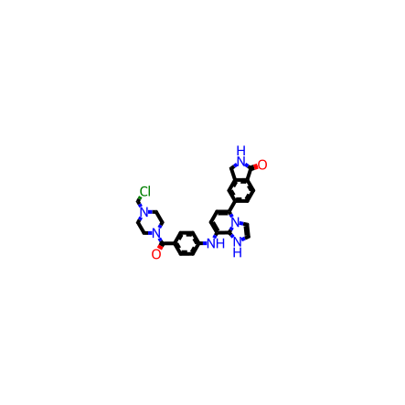 O=C1NCc2cc(C3=CC=C(Nc4ccc(C(=O)N5CCN(CCl)CC5)cc4)C4NC=CN34)ccc21